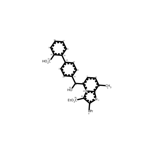 CCCc1nc2c(C)ccc(C(O)c3ccc(-c4ccccc4C(=O)O)cc3)n2c1C(=O)OCC